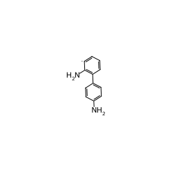 Nc1ccc(-c2ccc[c]c2N)cc1